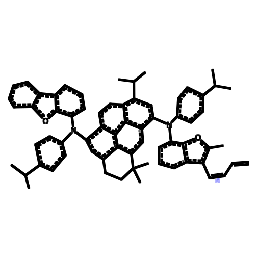 C=C/C=C\c1c(C)oc2c(N(c3ccc(C(C)C)cc3)c3cc(C(C)C)c4ccc5c(N(c6ccc(C(C)C)cc6)c6cccc7c6oc6ccccc67)cc6c7c(cc3c4c57)C(C)(C)CC6)cccc12